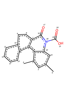 Cc1cc(C)c2c3c(ccc4ccccc43)c(=O)n(C(=O)O)c2c1